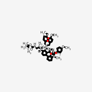 COc1ccc(CN(Cc2ccc(OC)cc2)S(=O)(=O)c2c(S(=O)(=O)C(C)CNC(=O)OC(C)(C)C)ccc(-c3cccc4c3nc(N)n4C)c2-c2nnn(Cc3ccc(OC)cc3)n2)cc1